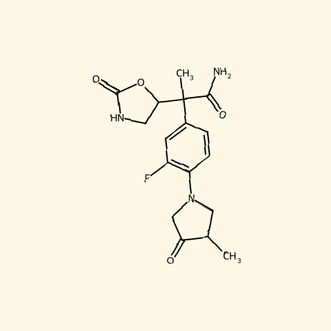 CC1CN(c2ccc(C(C)(C(N)=O)C3CNC(=O)O3)cc2F)CC1=O